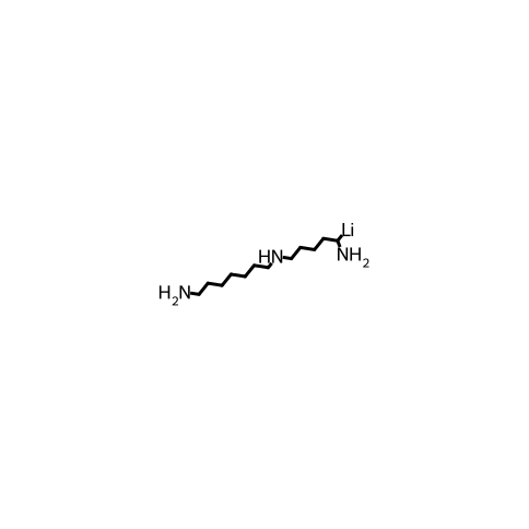 [Li][CH](N)CCCCNCCCCCCCN